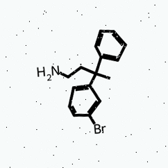 CC([CH]CN)(c1ccccc1)c1cccc(Br)c1